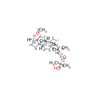 CO[C@@H]1C[C@H]2[C@@H]3CC[C@H]([C@H](C)C[C@H]4O[C@@H]4C(C)(C)O)[C@@]3(C)CC[C@@H]2[C@@]2(C)CC[C@H]3C[C@]312